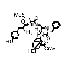 COC(=O)C12CC3CC(CC(NC(=O)[C@H](Cc4ccccc4)NC(=O)CNC(=O)[C@@H](CCSC)NC(=O)[C@@H](N)Cc4ccc(O)cc4)(C3)C1)C2.Cl